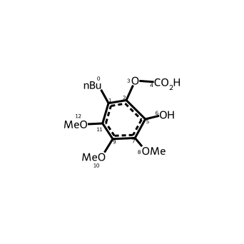 CCCCc1c(OC(=O)O)c(O)c(OC)c(OC)c1OC